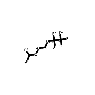 FC(F)OOCOC(F)(F)C(F)(F)F